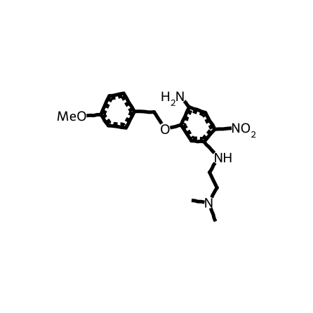 COc1ccc(COc2cc(NCCN(C)C)c([N+](=O)[O-])cc2N)cc1